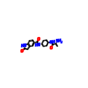 CC(N)C(=O)N[C@H]1CC[C@H](NC(=O)c2ccc3c(c2)CC(=O)N3)CC1